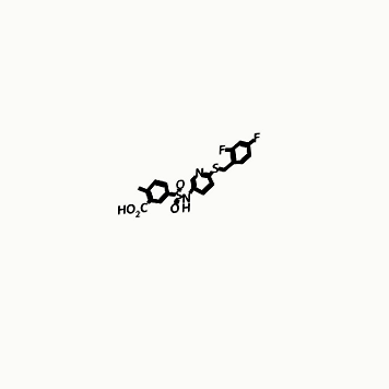 Cc1ccc(S(=O)(=O)Nc2ccc(SCc3ccc(F)cc3F)nc2)cc1C(=O)O